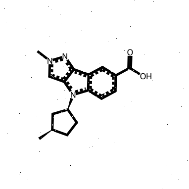 C[C@@H]1CC[C@H](n2c3ccc(C(=O)O)cc3c3nn(C)cc32)C1